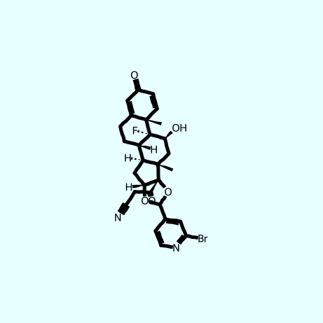 C[C@]12C=CC(=O)C=C1CC[C@H]1[C@@H]3C[C@H]4OC(c5ccnc(Br)c5)O[C@@]4(C(=O)CC#N)[C@@]3(C)C[C@H](O)[C@@]12F